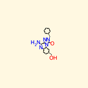 Nc1nc2ccc(CO)cc2n2c(=O)n(Cc3ccccc3)nc12